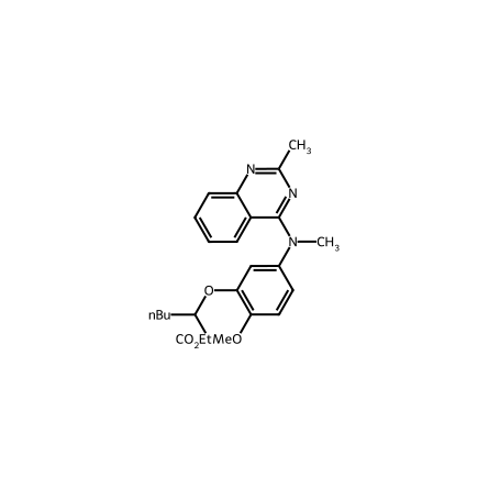 CCCCC(Oc1cc(N(C)c2nc(C)nc3ccccc23)ccc1OC)C(=O)OCC